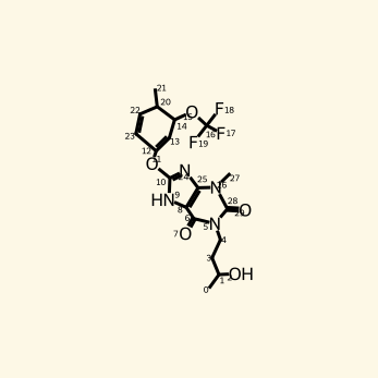 CC(O)CCn1c(=O)c2[nH]c(OC3=CC(OC(F)(F)F)C(C)C=C3)nc2n(C)c1=O